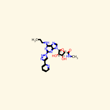 CCCNc1nc(-n2cc(-c3ccccn3)nn2)nc2c1ncn2[C@@H]1O[C@H](C(=O)NC)[C@@H](O)[C@H]1O